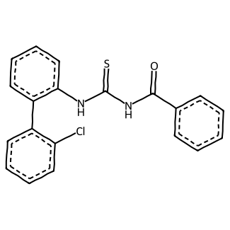 O=C(NC(=S)Nc1ccccc1-c1ccccc1Cl)c1ccccc1